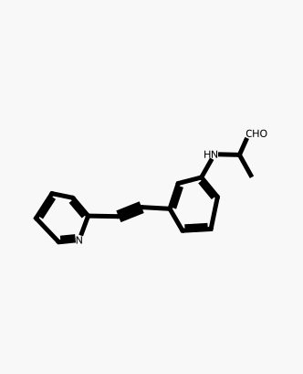 CC(C=O)Nc1cccc(C#Cc2ccccn2)c1